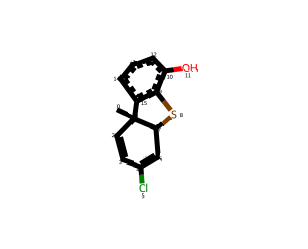 CC12C=CC(Cl)=CC1Sc1c(O)cccc12